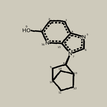 Oc1ccc2ncn(C3CC4CCC3C4)c2n1